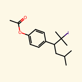 CC(=O)Oc1ccc(C(CC(C)C)C(C)(C)I)cc1